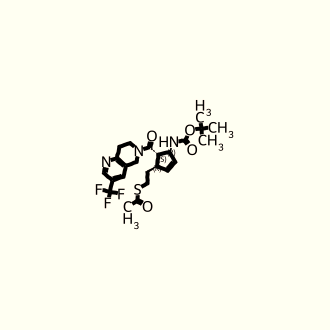 CC(=O)SCC[C@@H]1C=C[C@@H](NC(=O)OC(C)(C)C)[C@H]1C(=O)N1CCc2ncc(C(F)(F)F)cc2C1